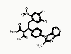 Cc1nc2cnccc2n1-c1ccc(C(Cc2cc(Cl)c(Cl)cc2[N+](=O)[O-])C(C(=O)O)C(=O)O)cc1